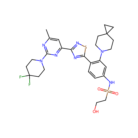 Cc1cc(-c2nsc(-c3ccc(NS(=O)(=O)CCO)cc3N3CCC4(CC3)CC4)n2)nc(N2CCC(F)(F)CC2)n1